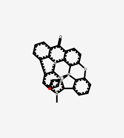 Cn1c2[n+](c3cncnc31)[N+]13c4c(cccc4-2)Oc2ccc4c(=O)c5cccc6c7ccc[n+]1c7n(c4c23)c56